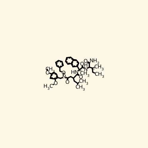 CC[C@H](C)C(NC(=O)[C@@](C)(NC(=O)C(CC(=O)N(Cc1ccc(OC)cc1OC)OCc1ccccc1)CC(C)C)c1ccc2ccccc2c1)C(N)=O